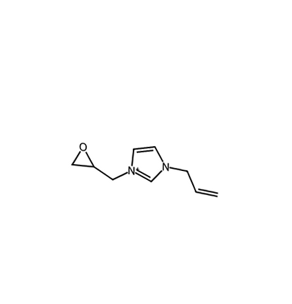 C=CCn1cc[n+](CC2CO2)c1